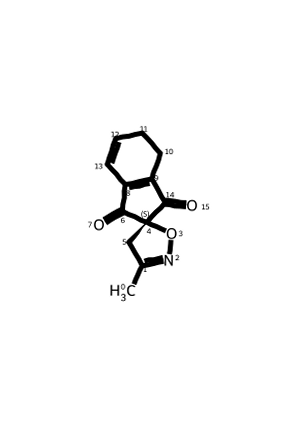 CC1=NO[C@]2(C1)C(=O)C1=C(CCC=C1)C2=O